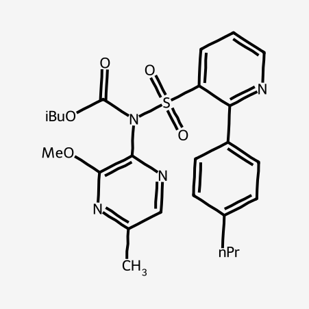 CCCc1ccc(-c2ncccc2S(=O)(=O)N(C(=O)OCC(C)C)c2ncc(C)nc2OC)cc1